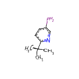 CC(C)(C)c1ccc(P)cn1